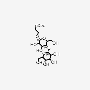 CCCCCCCCCCCCO[C@@H]1OC(CO)[C@@H](O[C@H]2OC(CO)[C@@H](O)C(O)C2O)C(O)C1O